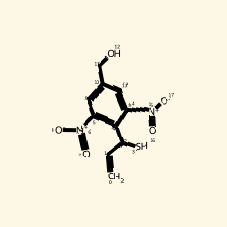 C=CC(S)c1c([N+](=O)[O-])cc(CO)cc1[N+](=O)[O-]